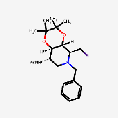 CC(=O)N[C@H]1CN(Cc2ccccc2)[C@H](CI)[C@H]2OC(C)(C)C(C)(C)O[C@@H]21